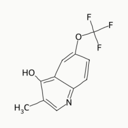 Cc1cnc2ccc(OC(F)(F)F)cc2c1O